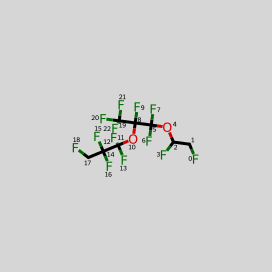 FCC(F)OC(F)(F)C(F)(OC(F)(F)C(F)(F)CF)C(F)(F)F